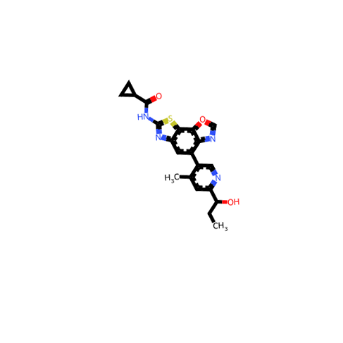 CCC(O)c1cc(C)c(-c2cc3nc(NC(=O)C4CC4)sc3c3ocnc23)cn1